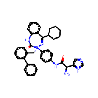 NC(C(=O)Nc1ccc([N@+]2(Cc3ccccc3-c3ccccc3)N=C(C3CCCCC3)c3ccccc3NC2=O)cc1)c1cnc[nH]1